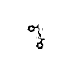 CC(NCCNC(C)c1ccccc1)c1ccccc1